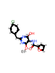 CCOc1nc(Cc2ccc(Cl)cc2)nc(O)c1NC(=O)c1ccco1